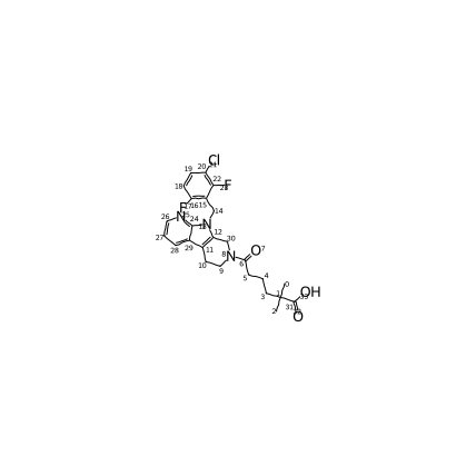 CC(C)(CCCC(=O)N1CCc2c(n(Cc3c(F)ccc(Cl)c3F)c3ncccc23)C1)C(=O)O